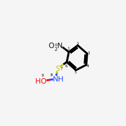 O=[N+]([O-])c1ccccc1SNO